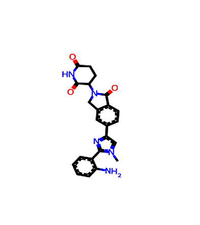 Cn1cc(-c2ccc3c(c2)CN(C2CCC(=O)NC2=O)C3=O)nc1-c1ccccc1N